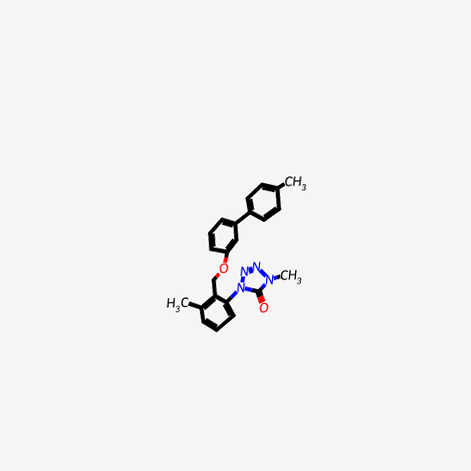 Cc1ccc(-c2cccc(OCc3c(C)cccc3-n3nnn(C)c3=O)c2)cc1